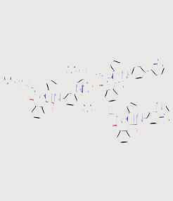 COCCN1C(=O)c2ccccc2C(C(=O)Nc2ccc(-c3cccnc3)cc2)C1c1cccs1.COCCN1C(=O)c2ccccc2C(C(=O)Nc2ccc3nccnc3c2)C1c1cccs1.COCCN1C(=O)c2ccccc2C(C(=O)Nc2cccc(-n3cccn3)c2)C1c1cccs1